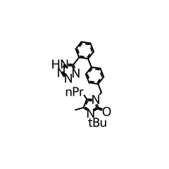 CCCc1c(C)n(C(C)(C)C)c(=O)n1Cc1ccc(-c2ccccc2-c2nnn[nH]2)cc1